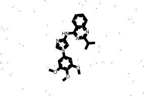 COc1cc(-n2cnc(Nc3nc(C(C)C)nc4ccccc34)c2)cc(OC)c1OC